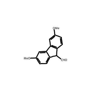 COc1ccc2c(c1)-c1cc(OC)ccc1C2C=O